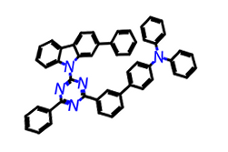 c1ccc(-c2ccc3c4ccccc4n(-c4nc(-c5ccccc5)nc(-c5cccc(-c6ccc(N(c7ccccc7)c7ccccc7)cc6)c5)n4)c3c2)cc1